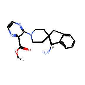 COC(=O)c1nccnc1N1CCC2(CC1)Cc1ccccc1[C@H]2N